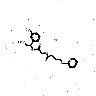 O=C(O)CC(NC(=O)CNC(=O)CCCNc1ccccn1)c1cccc([N+](=O)[O-])c1.[Na]